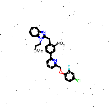 COCCn1c(Cc2ccc(-c3cccc(COc4ccc(Cl)cc4F)n3)cc2[N+](=O)[O-])nc2ccccc21